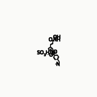 CN(C)Cc1ccc(S(=O)(=O)n2ccc(C=CC(=O)NO)c2)cc1.CS(=O)(=O)O